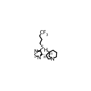 FC(F)(F)CCCSc1nsnc1[C@H]1CN2CCC[C@@H]1C2